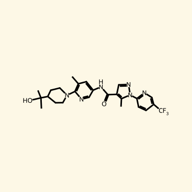 Cc1cc(NC(=O)c2cnn(-c3ccc(C(F)(F)F)cn3)c2C)cnc1N1CCC(C(C)(C)O)CC1